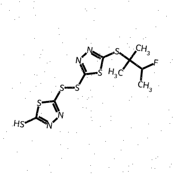 CC(F)C(C)(C)Sc1nnc(SSc2nnc(S)s2)s1